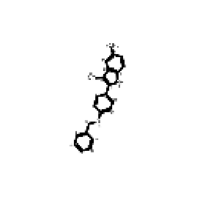 Cc1ccc2[nH]c(-c3ccc(OCc4ccccc4)cc3)c(C#N)c2c1